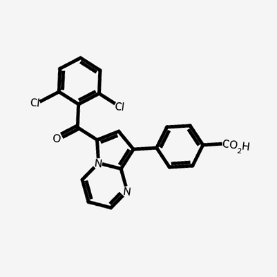 O=C(O)c1ccc(-c2cc(C(=O)c3c(Cl)cccc3Cl)n3cccnc23)cc1